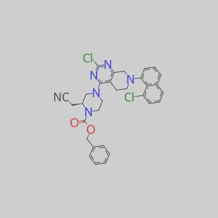 N#CC[C@H]1CN(c2nc(Cl)nc3c2CCN(c2cccc4cccc(Cl)c24)C3)CCN1C(=O)OCc1ccccc1